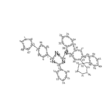 c1ccc(-c2ccc(-c3nc(-c4ccccc4)nc(-n4c5ccccc5c5cc6c(cc54)C4(CCCCC4)c4ccccc4-6)n3)cc2)cc1